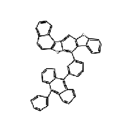 c1ccc(-c2c3ccccc3c(-c3cccc(-c4c5oc6ccc7ccccc7c6c5cc5oc6ccccc6c45)c3)c3ccccc23)cc1